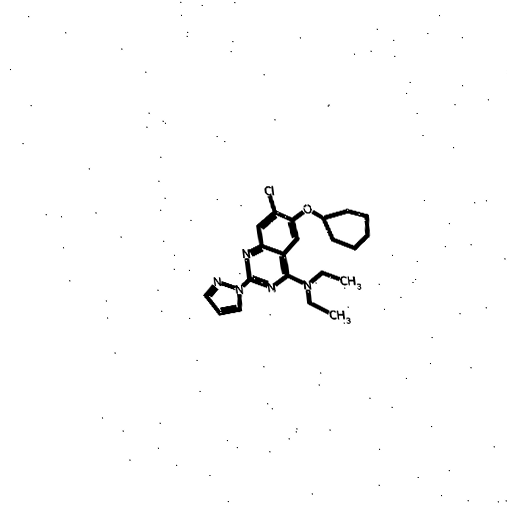 CCN(CC)c1nc(-n2cccn2)nc2cc(Cl)c(OC3CCCCC3)cc12